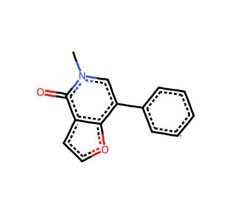 Cn1cc(-c2c[c]ccc2)c2occc2c1=O